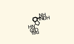 CC(C)(C)OC(=O)N[C@H]1CCc2c(C(=N)NO)cccc21